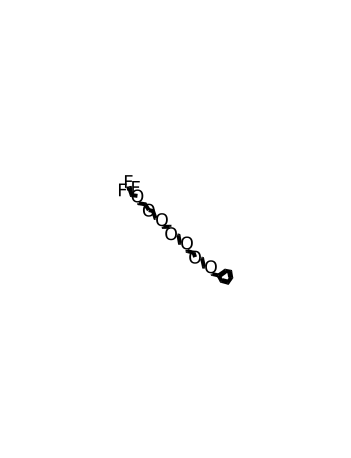 FC(F)(F)COCCOCCOCCOCCOCCOCCOCc1ccccc1